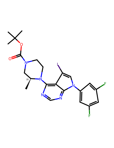 C[C@H]1CN(C(=O)OC(C)(C)C)CCN1c1ncnc2c1c(I)cn2-c1cc(F)cc(F)c1